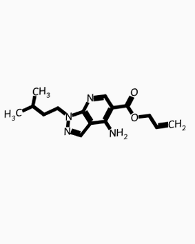 C=CCOC(=O)c1cnc2c(cnn2CCC(C)C)c1N